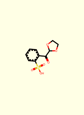 O=C(c1ccccc1S(=O)(=O)O)C1OCCO1